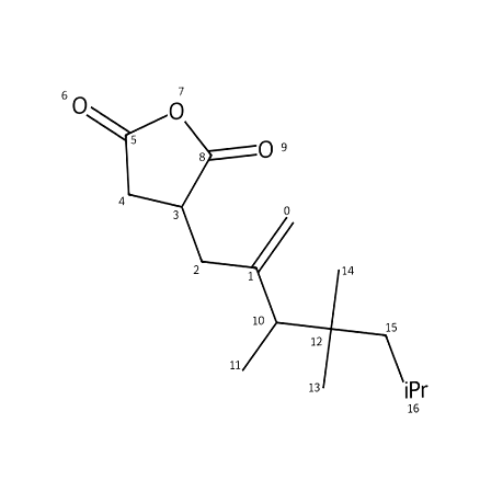 C=C(CC1CC(=O)OC1=O)C(C)C(C)(C)CC(C)C